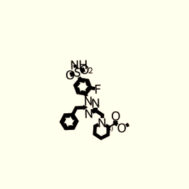 COC(=O)[C@H]1CCCCN1Cc1nc(Cc2ccccc2)n(-c2ccc(S(N)(=O)=O)cc2F)n1